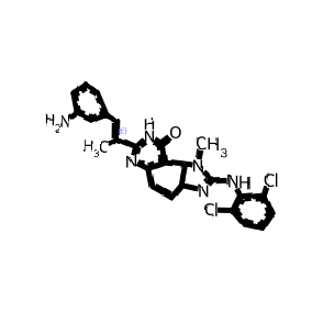 C/C(=C\c1cccc(N)c1)c1nc2c(c(=O)[nH]1)C1C(C=C2)N=C(Nc2c(Cl)cccc2Cl)N1C